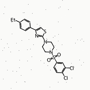 CCc1ccc(-c2csc(N3CCN(S(=O)(=O)c4ccc(Cl)c(Cl)c4)CC3)n2)cc1